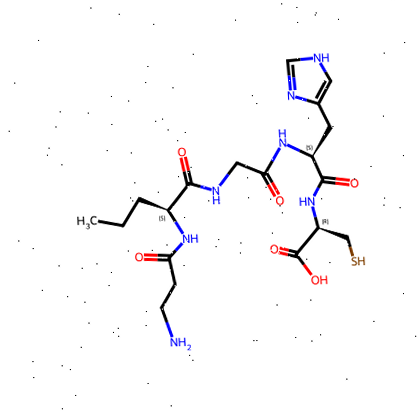 CCC[C@H](NC(=O)CCN)C(=O)NCC(=O)N[C@@H](Cc1c[nH]cn1)C(=O)N[C@@H](CS)C(=O)O